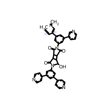 C=N/C=C(\C=C/C)c1cc(-c2cccnc2)cc(N2C(=O)C3C(C2=O)C2C3C(=O)N(c3cc(-c4ccncc4)cc(-c4ccncc4)c3)C2O)c1